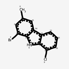 Cc1cc(Br)c2[nH]c3c(Cl)cccc3c2c1